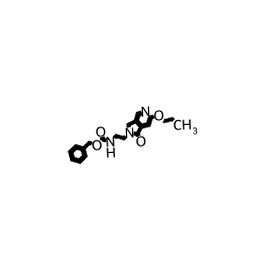 CCCOc1cc2c(cn1)CN(CCNC(=O)OCc1ccccc1)C2=O